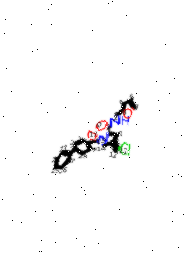 O=C(NCc1ccco1)[C@@H]1C/C(=C\Cl)CN1C(=O)c1ccc(-c2ccccc2)cc1